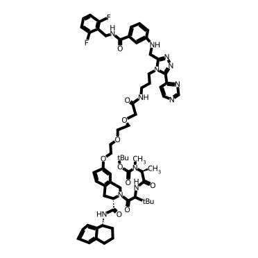 C[C@@H](C(=O)NC(C(=O)N1Cc2cc(OCCOCCOCC(=O)NCCCn3c(CNc4cccc(C(=O)NCc5c(F)cccc5F)c4)nnc3-c3ccncn3)ccc2C[C@H]1C(=O)N[C@@H]1CCCc2ccccc21)C(C)(C)C)N(C)C(=O)OC(C)(C)C